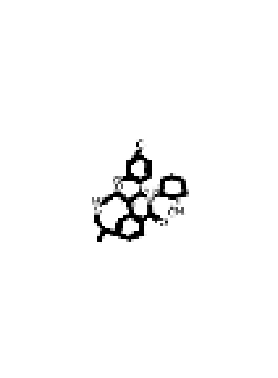 CC1CONC(=O)[C@@H]2c3cc1ccc3C(=O)N([C@H]1CCCC[C@@H]1O)[C@H]2c1ccc(Cl)cc1Cl